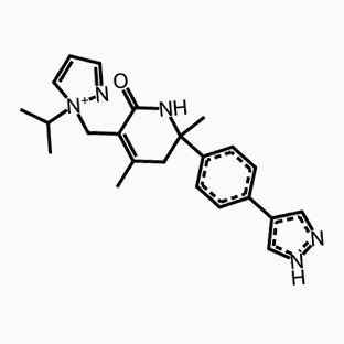 CC1=C(C[N+]2(C(C)C)C=CC=N2)C(=O)NC(C)(c2ccc(-c3cn[nH]c3)cc2)C1